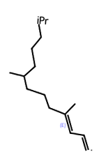 [CH]=C/C=C(\C)CCCC(C)CCCC(C)C